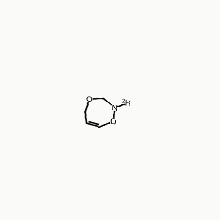 [2H]N1COCC=CO1